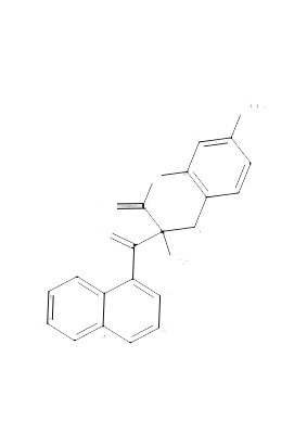 COc1ccc2c(c1)OC(=O)C(OC)(C(=O)c1cccc3ccccc13)C2